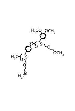 COCCOCCSC(CC(C)=O)c1ccc(OC(=O)CC(SCCOCCOC)c2ccc(OC)c(OC)c2)cc1